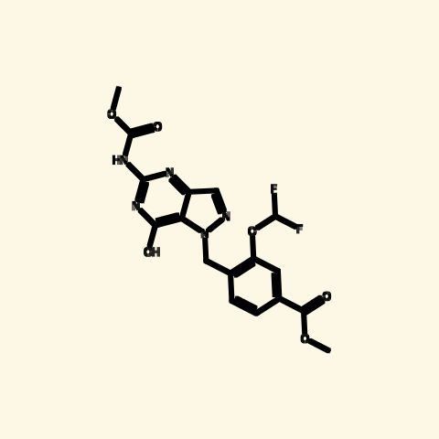 COC(=O)Nc1nc(O)c2c(cnn2Cc2ccc(C(=O)OC)cc2OC(F)F)n1